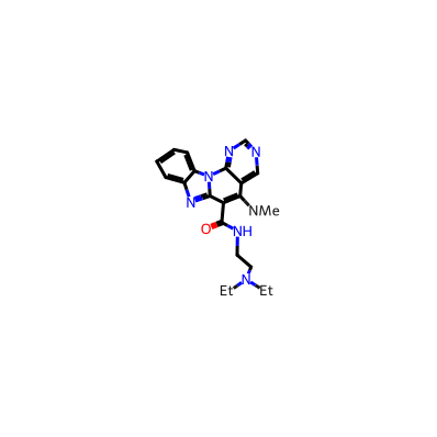 CCN(CC)CCNC(=O)c1c(NC)c2cncnc2n2c1nc1ccccc12